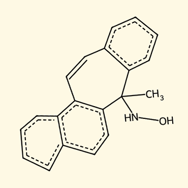 CC1(NO)c2ccccc2C=Cc2c1ccc1ccccc21